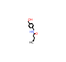 C#CCCC(=O)NCc1ccc(CO)cc1